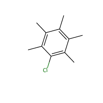 Cc1c(C)c(C)c(Cl)c(C)c1C